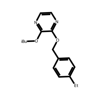 CCc1ccc(COc2nccnc2OC(C)CC)cc1